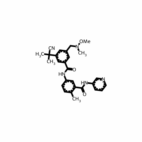 CON(C)Cc1cc(C(=O)Nc2ccc(C)c(C(=O)Nc3cccnc3)c2)cc(C(C)(C)C#N)c1